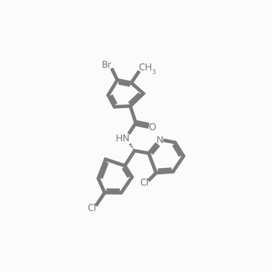 Cc1cc(C(=O)N[C@@H](c2ccc(Cl)cc2)c2ncccc2Cl)ccc1Br